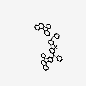 CC1(C)c2cc(N(c3ccccc3)c3ccc4c(c3)C3(CCCC3)c3ccc5ccccc5c3-4)ccc2-c2ccc(N(c3ccccc3)c3ccc4c(c3)C3(CCCC3)c3ccc5ccccc5c3-4)cc21